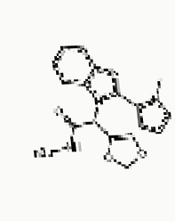 CCCCNC(=O)C(C1=COCO1)n1c(-c2cccn2C)nc2ccccc21